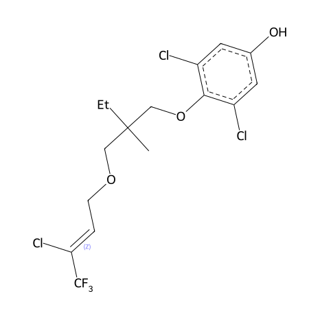 CCC(C)(COC/C=C(\Cl)C(F)(F)F)COc1c(Cl)cc(O)cc1Cl